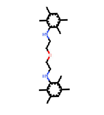 Cc1cc(C)c(C)c(NCCOCCNc2c(C)c(C)cc(C)c2C)c1C